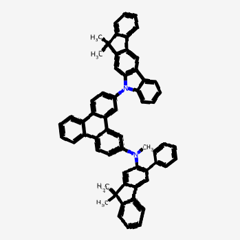 CN(c1ccc2c3ccccc3c3ccc(-n4c5ccccc5c5cc6c(cc54)C(C)(C)c4ccccc4-6)cc3c2c1)c1cc2c(cc1-c1ccccc1)-c1ccccc1C2(C)C